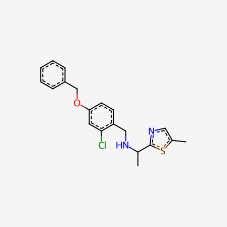 Cc1cnc(C(C)NCc2ccc(OCc3ccccc3)cc2Cl)s1